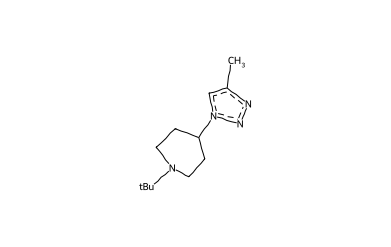 Cc1cn(C2CCN(C(C)(C)C)CC2)nn1